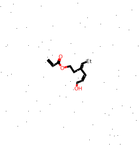 C=CC(=O)OCCC(/C=C\CO)=C/CC